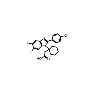 O=C(O)CC1(n2c(-c3ccc(Cl)cc3)nc3cc(F)c(F)cc32)CCCCC1